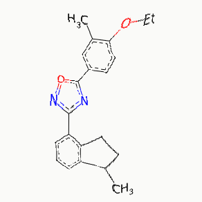 CCOc1ccc(-c2nc(-c3cccc4c3CCC4C)no2)cc1C